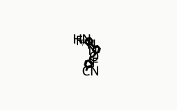 N#Cc1ccc(COc2cccc(N3CCN[C@@H](CF)C3)n2)c(F)c1